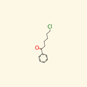 O=C(CCCCCCl)c1ccccc1